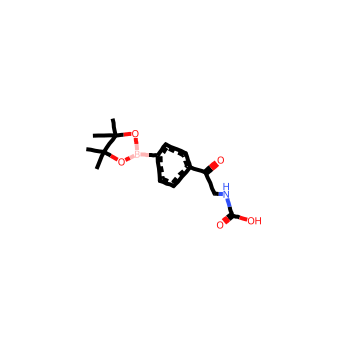 CC1(C)OB(c2ccc(C(=O)CNC(=O)O)cc2)OC1(C)C